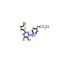 CCOC(=O)Cc1ccc(Nc2nc(-c3ccc(Br)s3)nc(C)c2CC)cc1